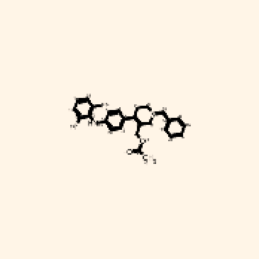 CC(=O)OCC1=C(c2ccc(Nc3c(F)cccc3F)cc2)CCN(Cc2ccccc2)C1